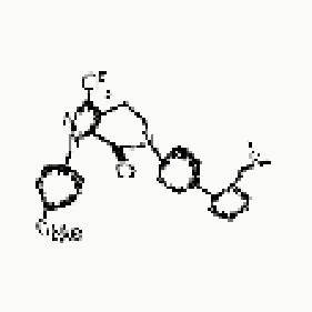 COc1ccc(-n2nc(C(F)(F)F)c3c2C(=O)N(c2ccc(-c4ccccc4CN(C)C)cc2)CC3)cc1